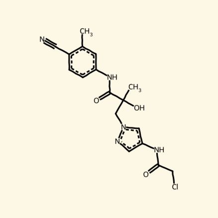 Cc1cc(NC(=O)C(C)(O)Cn2cc(NC(=O)CCl)cn2)ccc1C#N